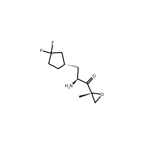 C[C@]1(C(=O)[C@@H](N)C[C@@H]2CCC(F)(F)C2)CO1